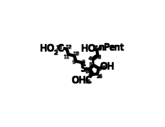 CCCCC[C@H](O)C=C[C@@H]1C(SCCCCCC(=O)O)=C(C=O)C[C@H]1O